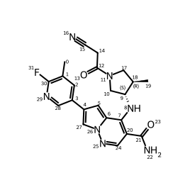 Cc1cc(-c2cc3c(N[C@@H]4CN(C(=O)CC#N)C[C@H]4C)c(C(N)=O)cnn3c2)cnc1F